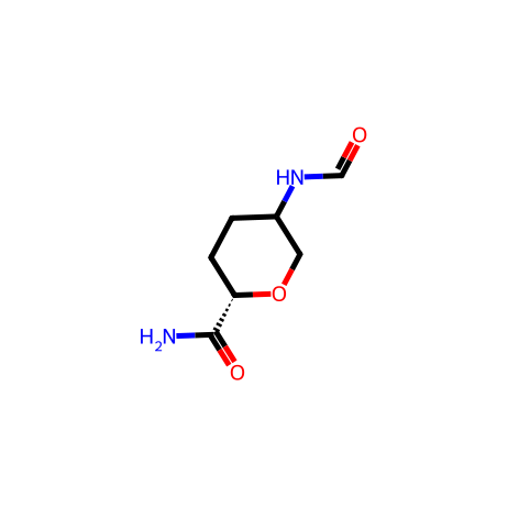 NC(=O)[C@@H]1CCC(NC=O)CO1